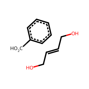 O=C(O)c1ccccc1.OCC=CCO